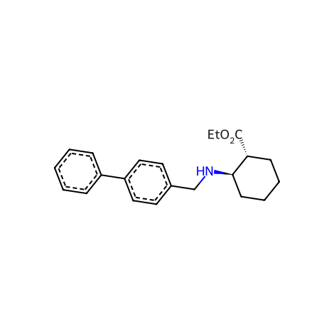 CCOC(=O)[C@@H]1CCCC[C@H]1NCc1ccc(-c2ccccc2)cc1